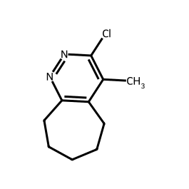 Cc1c(Cl)nnc2c1CCCCC2